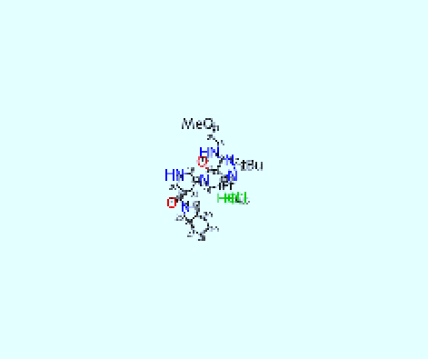 COCCCNc1nc(C(C)(C)C)ncc1C(=O)N(CC(C)C)[C@@H]1CNC[C@H](C(=O)N2Cc3ccccc3C2)C1.Cl.Cl